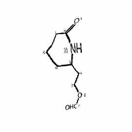 O=COCCC1CCCC(=O)N1